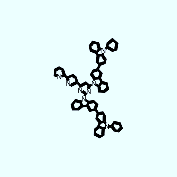 c1ccc(-n2c3ccccc3c3cc(-c4ccc5c(c4)c4ccccc4n5-c4cc(-c5ccc(-c6ccccn6)nc5)nc(-n5c6ccccc6c6cc(-c7ccc8c(c7)c7ccccc7n8-c7ccccc7)ccc65)n4)ccc32)cc1